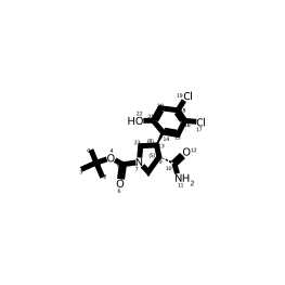 CC(C)(C)OC(=O)N1C[C@@H](C(N)=O)[C@H](c2cc(Cl)c(Cl)cc2O)C1